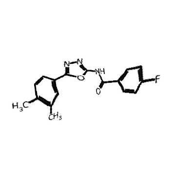 Cc1ccc(-c2nnc(NC(=O)c3ccc(F)cc3)o2)cc1C